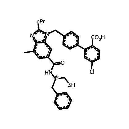 CCCc1nc2c(C)cc(C(=O)N[C@@H](CS)Cc3ccccc3)cc2n1Cc1ccc(-c2cc(Cl)ccc2C(=O)O)cc1